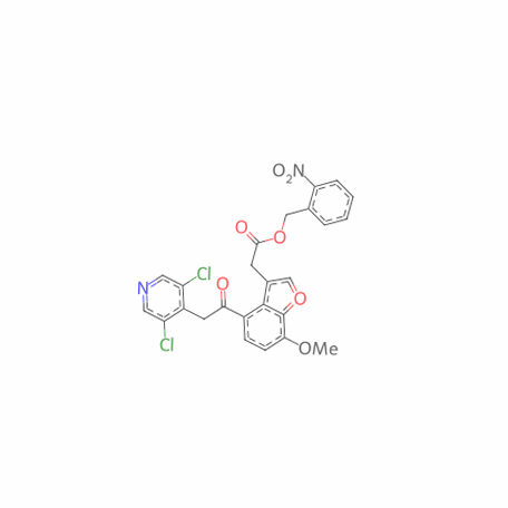 COc1ccc(C(=O)Cc2c(Cl)cncc2Cl)c2c(CC(=O)OCc3ccccc3[N+](=O)[O-])coc12